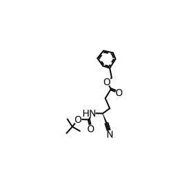 CC(C)(C)OC(=O)N[C@H](C#N)CCC(=O)OCc1ccccc1